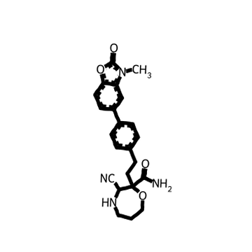 Cn1c(=O)oc2ccc(-c3ccc(CCC4(C(N)=O)OCCCNC4C#N)cc3)cc21